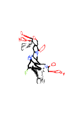 CC[C@@]1(O)C(=O)OCc2c1cc1n(c2=O)Cc2c-1nc1cc(F)c(C)cc1c2CN(C)C(=O)CO